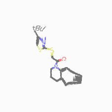 CC(C)(C)c1csc(SCC(=O)N2CCCc3ccccc32)n1